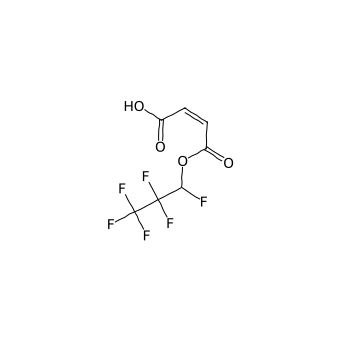 O=C(O)/C=C\C(=O)OC(F)C(F)(F)C(F)(F)F